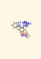 CC(C)(C)NS(=O)(=O)c1ccc(NC2CCCCC2)c(-c2nn[nH]n2)c1